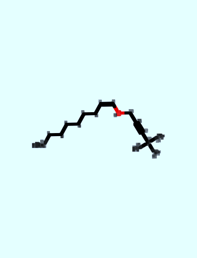 CCCCCCCCCCCCCCCC/C=C\OCC#C[Si](C(C)C)(C(C)C)C(C)C